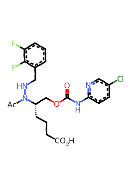 CC(=O)N(NCc1cccc(F)c1F)[C@@H](CCCC(=O)O)COC(=O)Nc1ccc(Cl)cn1